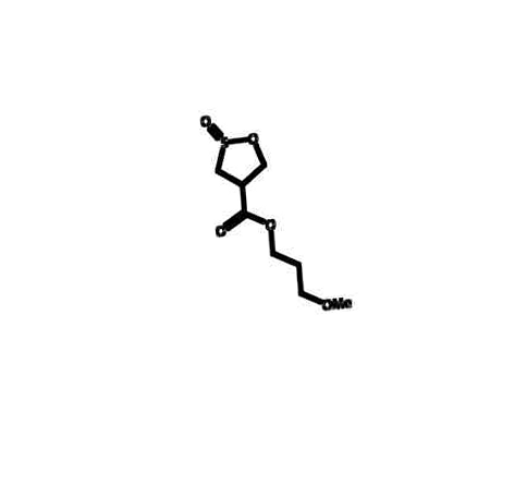 COCCCOC(=O)C1COS(=O)C1